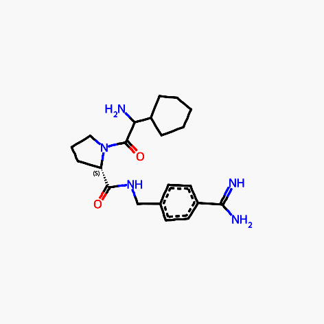 N=C(N)c1ccc(CNC(=O)[C@@H]2CCCN2C(=O)C(N)C2CCCCC2)cc1